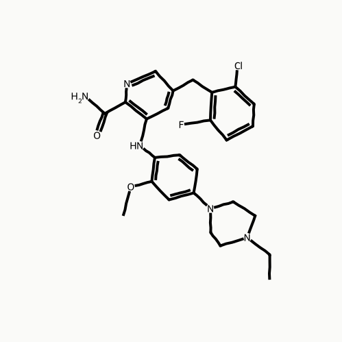 CCN1CCN(c2ccc(Nc3cc(Cc4c(F)cccc4Cl)cnc3C(N)=O)c(OC)c2)CC1